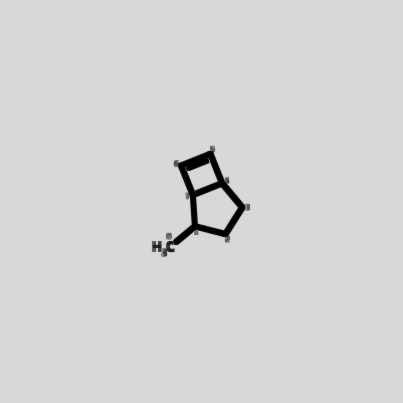 CC1CCC2C=CC12